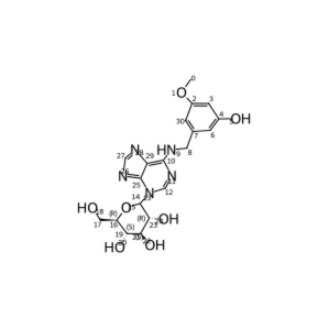 COc1cc(O)cc(CNc2ncn(C3O[C@H](CO)[C@@H](O)[C@H](O)[C@H]3O)c3ncnc2-3)c1